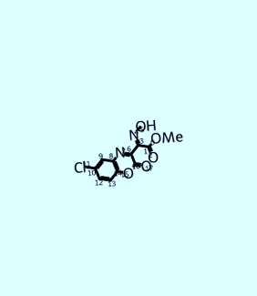 COC(=O)C(=NO)c1nc2cc(Cl)ccc2oc1=O